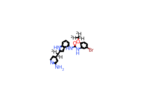 [2H]C([2H])([2H])Oc1ccc(Br)cc1NC(=O)Nc1cccc2[nH]c(C([2H])([2H])c3ccnc(N)c3)cc12